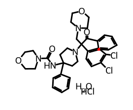 Cl.O.O=C(NC1(c2ccccc2)CCN(C(CN2CCOCC2)(C(=O)c2ccccc2)c2ccc(Cl)c(Cl)c2)CC1)N1CCOCC1